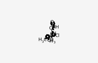 Cc1cccc(Nc2cc(Cl)nc(SCC(=O)NN3CCOCC3)n2)c1C